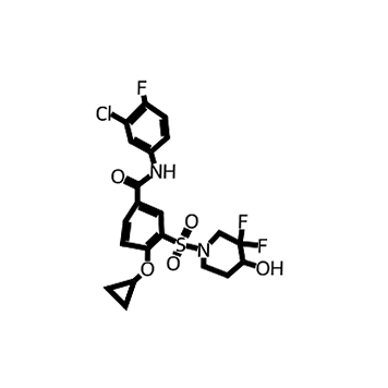 O=C(Nc1ccc(F)c(Cl)c1)c1ccc(OC2CC2)c(S(=O)(=O)N2CCC(O)C(F)(F)C2)c1